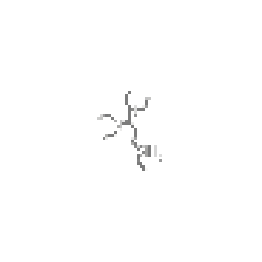 C=C[SiH2]CCC(N(CC)CC)N(CC)CC